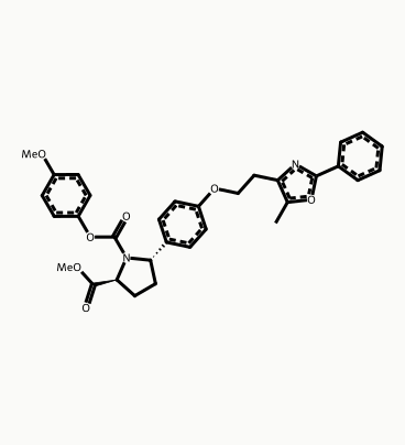 COC(=O)[C@@H]1CC[C@@H](c2ccc(OCCc3nc(-c4ccccc4)oc3C)cc2)N1C(=O)Oc1ccc(OC)cc1